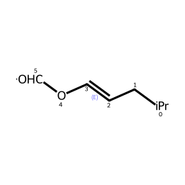 CC(C)C/C=C/O[C]=O